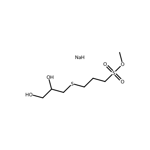 COS(=O)(=O)CCCSCC(O)CO.[NaH]